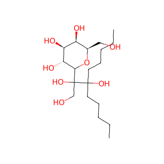 CCCCCC(O)(CCCCC)C(O)(CO)C1O[C@H](CO)[C@H](O)[C@H](O)[C@H]1O